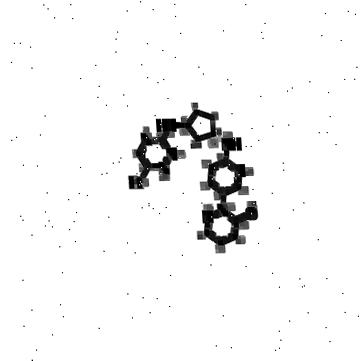 CCc1cnc(N[C@H]2CC[C@H](Nc3ccc(-n4ncccc4=O)cn3)C2)nn1